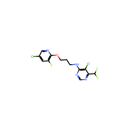 Fc1cc(Cl)cnc1OCCCNc1ncnc(C(F)F)c1Cl